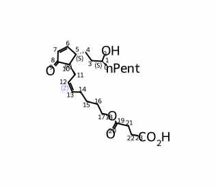 CCCCC[C@H](O)CC[C@H]1C=CC(=O)[C@@H]1C/C=C\CCCCOC(=O)CCC(=O)O